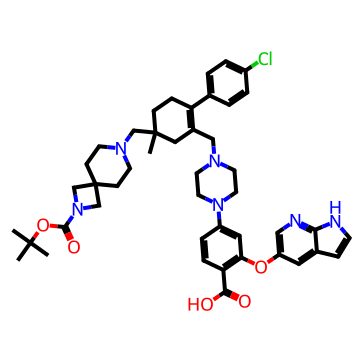 CC1(CN2CCC3(CC2)CN(C(=O)OC(C)(C)C)C3)CCC(c2ccc(Cl)cc2)=C(CN2CCN(c3ccc(C(=O)O)c(Oc4cnc5[nH]ccc5c4)c3)CC2)C1